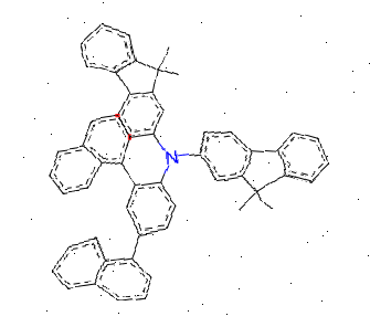 CC1(C)c2ccccc2-c2ccc(N(c3ccc4c(c3)C(C)(C)c3ccccc3-4)c3ccc(-c4cccc5ccccc45)cc3-c3cccc4ccccc34)cc21